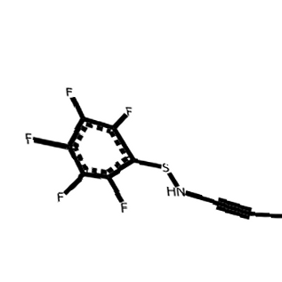 Fc1c(F)c(F)c(SNC#CS)c(F)c1F